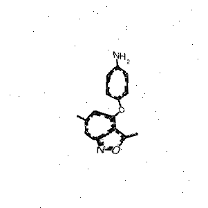 Cc1cc(Oc2ccc(N)cc2)c2c(C)onc2c1